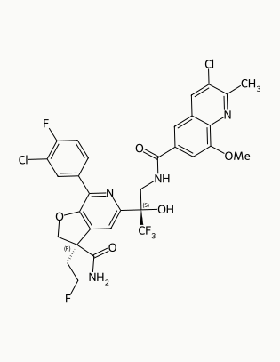 COc1cc(C(=O)NC[C@](O)(c2cc3c(c(-c4ccc(F)c(Cl)c4)n2)OC[C@]3(CCF)C(N)=O)C(F)(F)F)cc2cc(Cl)c(C)nc12